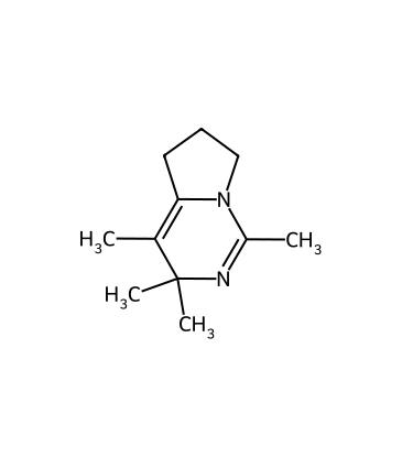 CC1=NC(C)(C)C(C)=C2CCCN12